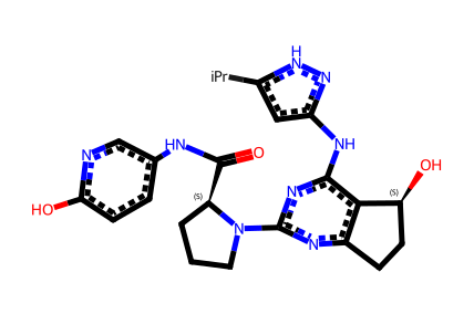 CC(C)c1cc(Nc2nc(N3CCC[C@H]3C(=O)Nc3ccc(O)nc3)nc3c2[C@@H](O)CC3)n[nH]1